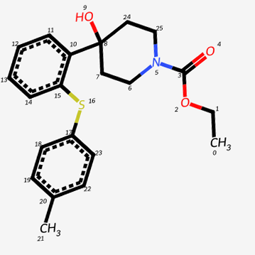 CCOC(=O)N1CCC(O)(c2ccccc2Sc2ccc(C)cc2)CC1